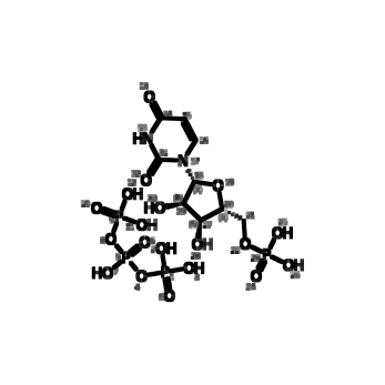 O=P(O)(O)OP(=O)(O)OP(=O)(O)O.O=c1ccn([C@@H]2O[C@H](COP(=O)(O)O)[C@@H](O)[C@H]2O)c(=O)[nH]1